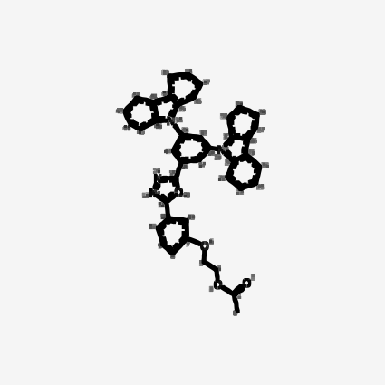 CC(=O)OCCOc1cccc(-c2nnc(-c3cc(-n4c5ccccc5c5ccccc54)cc(-n4c5ccccc5c5ccccc54)c3)o2)c1